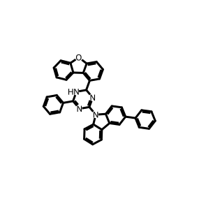 c1ccc(C2=NC(n3c4ccccc4c4cc(-c5ccccc5)ccc43)=NC(c3cccc4oc5ccccc5c34)N2)cc1